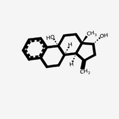 C=C1C[C@@H](O)[C@@]2(C)CC[C@]3(O)c4ccccc4CC[C@@H]3[C@H]12